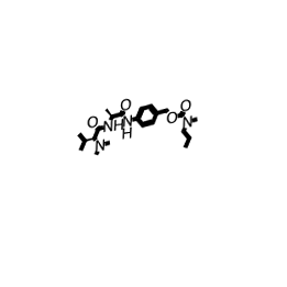 CCCN(C)C(=O)OCc1ccc(NC(=O)[C@H](C)NC(=O)[C@H](C(C)C)N(C)C)cc1